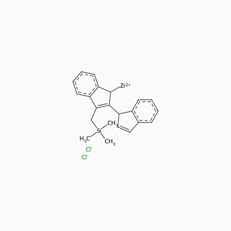 C[Si](C)(C)CC1=C(C2C=Cc3ccccc32)[CH]([Zr+2])c2ccccc21.[Cl-].[Cl-]